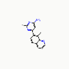 Cc1nc(N)cc(-c2ccc3cccnc3c2C)n1